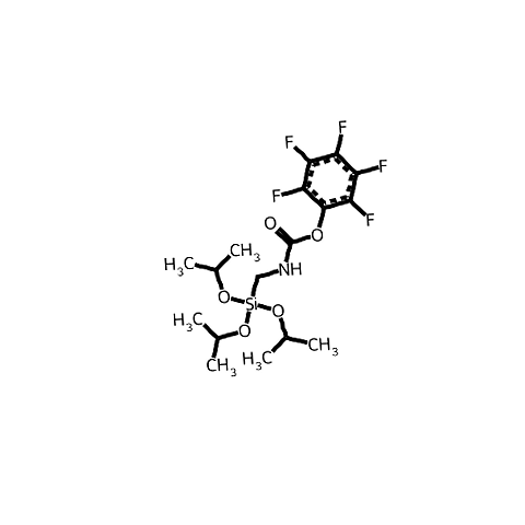 CC(C)O[Si](CNC(=O)Oc1c(F)c(F)c(F)c(F)c1F)(OC(C)C)OC(C)C